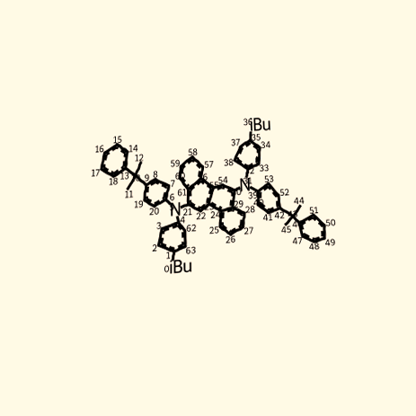 CCC(C)c1ccc(N(c2ccc(C(C)(C)c3ccccc3)cc2)c2cc3c4ccccc4c(N(c4ccc(C(C)CC)cc4)c4ccc(C(C)(C)c5ccccc5)cc4)cc3c3ccccc23)cc1